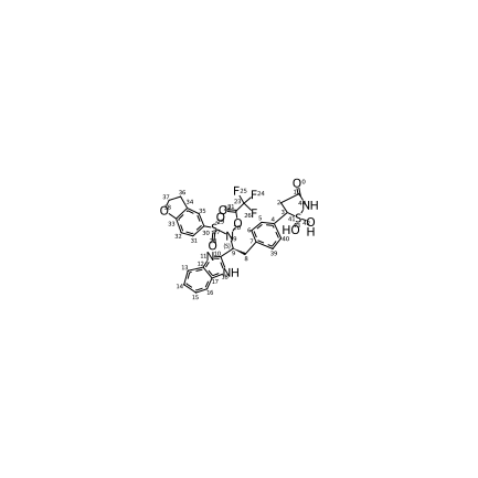 O=C1CC(c2ccc(C[C@@H](c3nc4ccccc4[nH]3)N(OC(=O)C(F)(F)F)S(=O)(=O)c3ccc4c(c3)CCO4)cc2)S(O)(O)N1